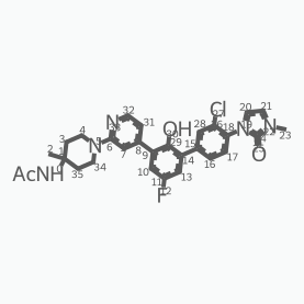 CC(=O)NC1(C)CCN(c2cc(-c3cc(F)cc(-c4ccc(-n5ccn(C)c5=O)c(Cl)c4)c3O)ccn2)CC1